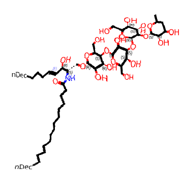 CCCCCCCCCCCCC/C=C/[C@@H](O)[C@H](CO[C@@H]1OC(CO)[C@@H](O[C@@H]2OC(CO)[C@H](O)[C@H](O[C@H]3OC(CO)[C@H](O)[C@H](O)C3O[C@@H]3OC(C)CC(O)[C@@H]3O)C2O)[C@H](O)C1O)NC(=O)CCCCCCCCCCCCCCCCCCCCCCC